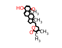 CC1=C(C)C(=O)OC(CC2CCC3C4CC=C5C(O)C=CC(=O)C5(C)C4CCC23C)C1